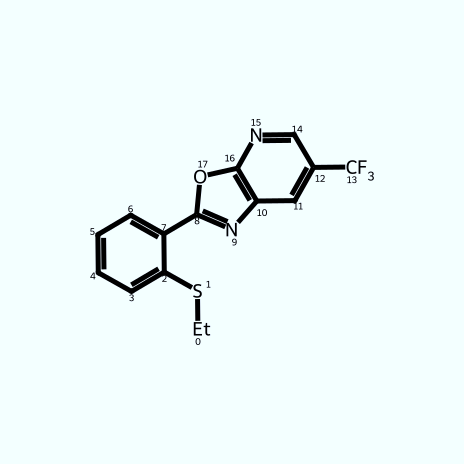 CCSc1ccccc1-c1nc2cc(C(F)(F)F)cnc2o1